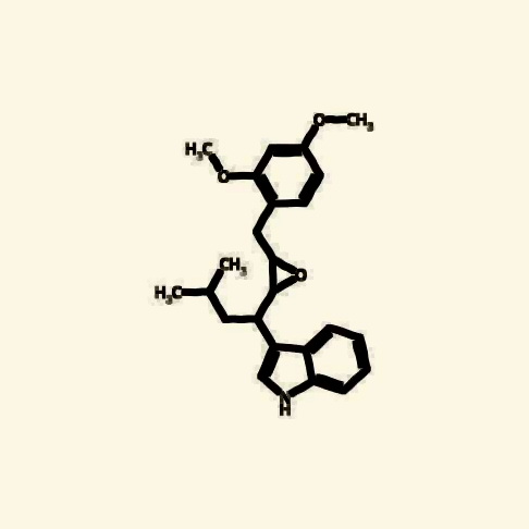 COc1ccc(CC2OC2C(CC(C)C)c2c[nH]c3ccccc23)c(OC)c1